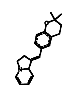 CC1(C)CCc2cc(/C=C3\CCN4C=CC=CC34)ccc2O1